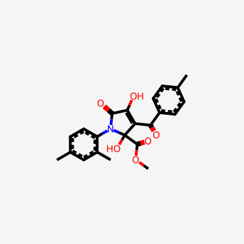 COC(=O)C1(O)C(C(=O)c2ccc(C)cc2)=C(O)C(=O)N1c1ccc(C)cc1C